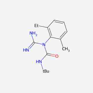 CCc1cccc(C)c1N(C(=N)N)C(=O)NC(C)(C)C